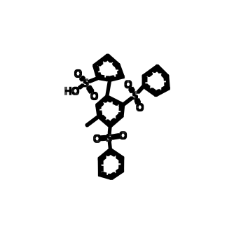 Cc1cc(-c2ccccc2S(=O)(=O)O)c(S(=O)(=O)c2ccccc2)cc1S(=O)(=O)c1ccccc1